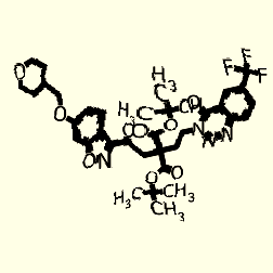 CC(C)(C)OC(=O)C(CCn1nnc2ccc(C(F)(F)F)cc2c1=O)(CC(=O)c1noc2cc(OCC3CCOCC3)ccc12)C(=O)OC(C)(C)C